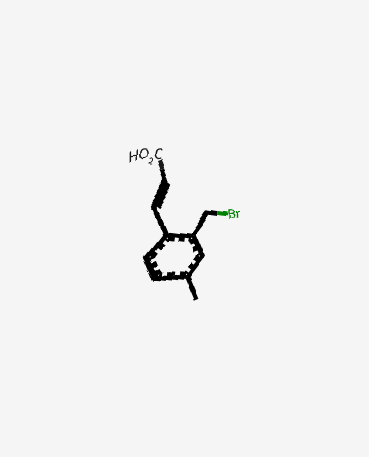 Cc1ccc(/C=C/C(=O)O)c(CBr)c1